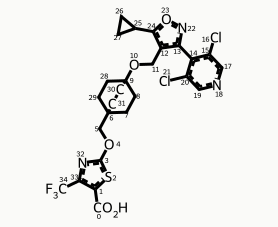 O=C(O)c1sc(OCC23CCC(OCc4c(-c5c(Cl)cncc5Cl)noc4C4CC4)(CC2)CC3)nc1C(F)(F)F